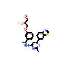 Cc1nc(NC(C)c2cccc(OCC(O)CO)c2)cc(-c2ccc3ncsc3c2)n1